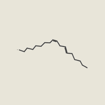 [CH2]CCCCCCC/C=C\CC=CCCCCC